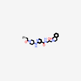 CC(C)CC(=O)N1CCC(Nc2cc(C(=O)NCC(O)CN3CCc4ccccc4C3)ccn2)CC1